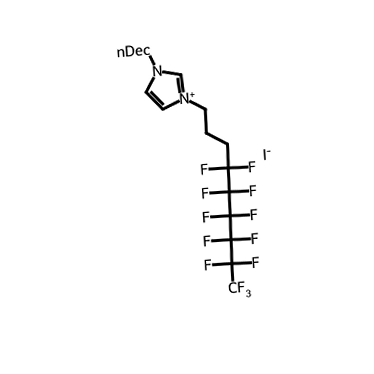 CCCCCCCCCCn1cc[n+](CCCC(F)(F)C(F)(F)C(F)(F)C(F)(F)C(F)(F)C(F)(F)F)c1.[I-]